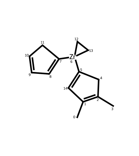 CC1=C(C)C[C]([Zr]2([C]3=CC=CC3)[CH2][CH2]2)=C1